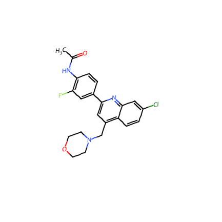 CC(=O)Nc1ccc(-c2cc(CN3CCOCC3)c3ccc(Cl)cc3n2)cc1F